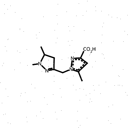 Cc1cc(C(=O)O)nn1CC1=NN(C)C(C)C1